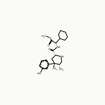 COC(=O)[C@@H](NC(=O)[C@H]1C[C@@](C)(c2cccc(O)c2)[C@@H](C)CN1)C1CCCCC1